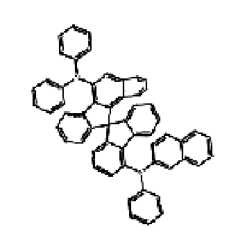 c1ccc(N(c2ccc3ccccc3c2)c2cccc3c2-c2ccccc2C32c3ccccc3-c3c(N(c4ccccc4)c4ccccc4)cc4ccccc4c32)cc1